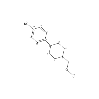 CCOCC1CCC(c2ccc(C#N)cc2)CC1